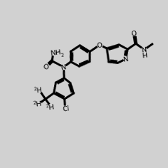 [2H]C([2H])([2H])c1cc(N(C(N)=O)c2ccc(Oc3ccnc(C(=O)NC)c3)cc2)ccc1Cl